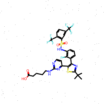 CC(C)(C)c1nc(-c2cccc(NS(=O)(=O)c3cc(C(F)(F)F)ccc3C(F)(F)F)c2F)c(-c2ccnc(NCCCCC(=O)O)n2)s1